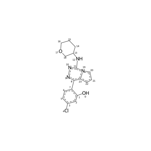 Oc1cc(Cl)ccc1-c1nnc(NC2CCCOC2)n2cccc12